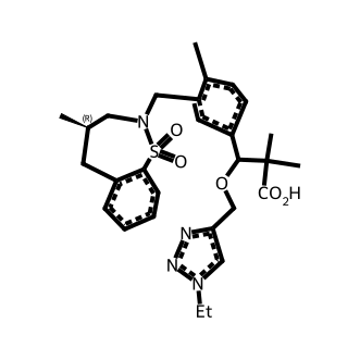 CCn1cc(COC(c2ccc(C)c(CN3C[C@H](C)Cc4ccccc4S3(=O)=O)c2)C(C)(C)C(=O)O)nn1